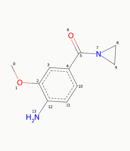 COc1cc(C(=O)N2CC2)ccc1N